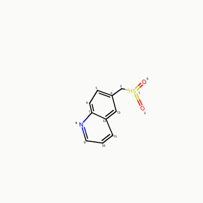 O=[SH](=O)Cc1ccc2ncc[c]c2c1